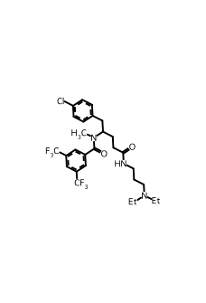 CCN(CC)CCCNC(=O)CCC(Cc1ccc(Cl)cc1)N(C)C(=O)c1cc(C(F)(F)F)cc(C(F)(F)F)c1